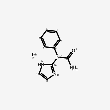 NC(=O)N(c1ccccc1)c1ncc[nH]1.[Fe]